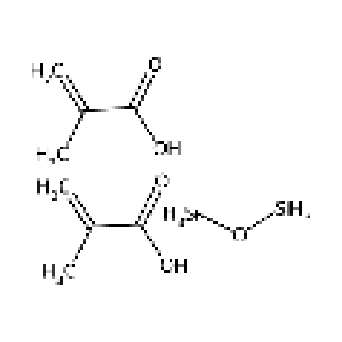 C=C(C)C(=O)O.C=C(C)C(=O)O.[SiH3]O[SiH3]